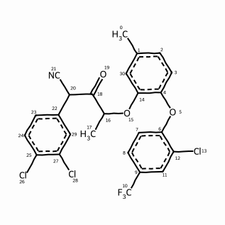 Cc1ccc(Oc2ccc(C(F)(F)F)cc2Cl)c(OC(C)C(=O)C(C#N)c2ccc(Cl)c(Cl)c2)c1